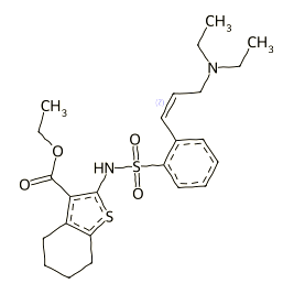 CCOC(=O)c1c(NS(=O)(=O)c2ccccc2/C=C\CN(CC)CC)sc2c1CCCC2